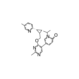 Cc1ccc([C@@H]2CC2COc2nc(C)ncc2-c2ccc(=O)n(C(C)C)c2)nc1